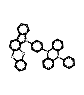 c1ccc(N2c3ccccc3N(c3ccc(-n4c5ccccc5c5ccc6c(c54)Oc4ccccc4O6)cc3)c3ccccc32)cc1